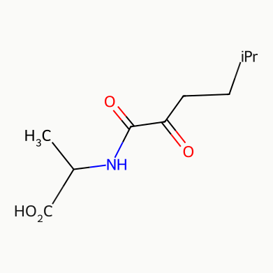 CC(C)CCC(=O)C(=O)NC(C)C(=O)O